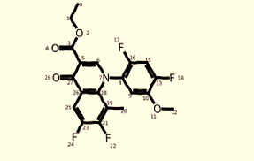 CCOC(=O)c1cn(-c2cc(OC)c(F)cc2F)c2c(C)c(F)c(F)cc2c1=O